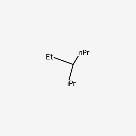 C[CH]CC(CC)C(C)C